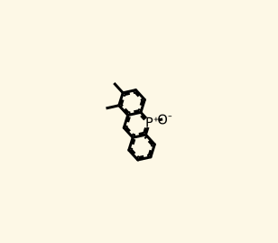 Cc1ccc2c(cc3ccccc3[p+]2[O-])c1C